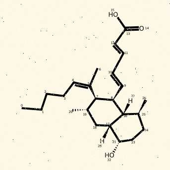 CCCC/C=C(/C)[C@H]1[C@@H](/C=C/C=C/C(=O)O)[C@H]2[C@@H](C[C@@H]1C)[C@@H](O)CC[C@@H]2C